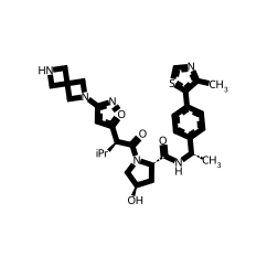 Cc1ncsc1-c1ccc([C@H](C)NC(=O)[C@@H]2C[C@@H](O)CN2C(=O)[C@H](c2cc(N3CC4(CNC4)C3)no2)C(C)C)cc1